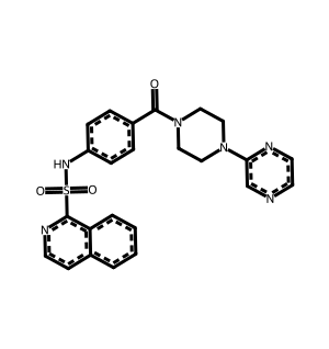 O=C(c1ccc(NS(=O)(=O)c2nccc3ccccc23)cc1)N1CCN(c2cnccn2)CC1